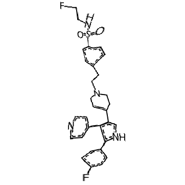 O=S(=O)(NCCF)c1ccc(CCN2CC=C(c3c[nH]c(-c4ccc(F)cc4)c3-c3ccncc3)CC2)cc1